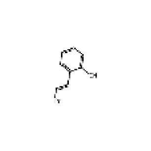 CC(C)/C=C/c1ccccc1C#N